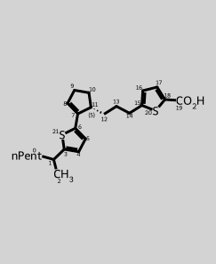 CCCCCC(C)c1ccc(C2=CCC[C@@H]2CCCc2ccc(C(=O)O)s2)s1